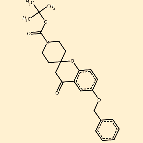 CC(C)(C)OC(=O)N1CCC2(CC1)CC(=O)c1cc(OCc3ccccc3)ccc1O2